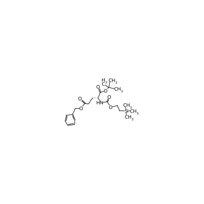 CC(C)(C)OC(=O)[C@@H](CCC(=O)OCc1ccccc1)NC(=O)OCC[Si](C)(C)C